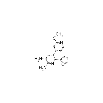 CSc1nccc(-c2cc(N)c(N)nc2-c2ccco2)n1